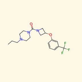 CCCN1CCN(C(=O)N2CC(Oc3cccc(C(F)(F)F)c3)C2)CC1